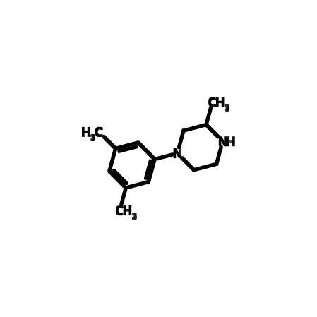 Cc1cc(C)cc(N2CCNC(C)C2)c1